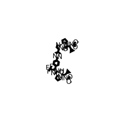 COC(=O)NC(C(=O)N1CCC[C@H]1c1nc(C(F)(F)F)c(-c2ccc(-c3ncc(-c4cnc([C@@H]5CCCN5C(=O)[C@@H](NC(=O)OC)C5CC5)[nH]4)cn3)cc2)[nH]1)C1CC1